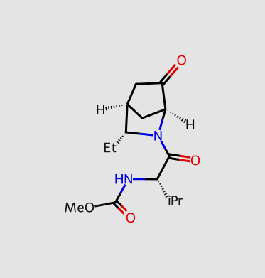 CC[C@@H]1[C@H]2CC(=O)[C@H](C2)N1C(=O)[C@@H](NC(=O)OC)C(C)C